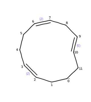 [CH]1C/C=C\CC/C=C\C/C=C/C1